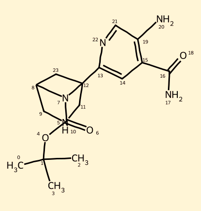 CC(C)(C)OC(=O)N1C2CNCC1(c1cc(C(N)=O)c(N)cn1)C2